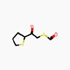 O=CSCC(=O)C1CCCS1